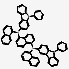 c1ccc(-n2c3ccccc3c3cc(N(c4cccc5ccccc45)c4cccc5c(N(c6ccc7c(c6)c6ccccc6n7-c6ccccc6)c6cccc7ccccc67)cccc45)ccc32)cc1